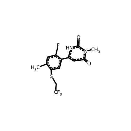 Cc1cc(F)c(-c2cc(=O)n(C)c(=O)[nH]2)cc1SCC(F)(F)F